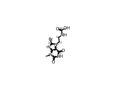 Cn1c(=O)[nH]c(=O)c2c1nc(Br)n2CCNC(=O)O